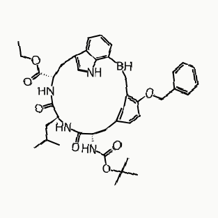 CCOC(=O)[C@@H]1Cc2c[nH]c3c(cccc23)BCc2cc(ccc2OCc2ccccc2)C[C@H](NC(=O)OC(C)(C)C)C(=O)N[C@@H](CC(C)C)C(=O)N1